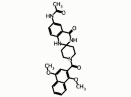 COc1cc(C(=O)N2CCC3(CC2)NC(=O)c2cc(NC(C)=O)ccc2N3)c(OC)c2ccccc12